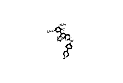 COc1cc(OC)c(Cl)c(-c2cc3cnc(Nc4ccc(C5CCN(C)CC5)cc4)nc3n3cnnc23)c1